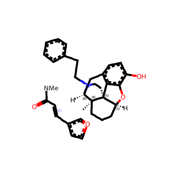 CNC(=O)/C=C/c1ccoc1.C[C@@]12CCC[C@@H]3Oc4c(O)ccc5c4[C@@]31CCN(CCc1ccccc1)[C@@H]2C5